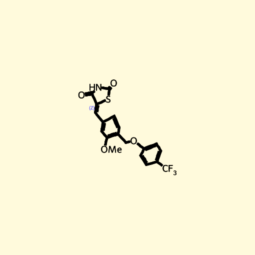 COc1cc(/C=C2\SC(=O)NC2=O)ccc1COc1ccc(C(F)(F)F)cc1